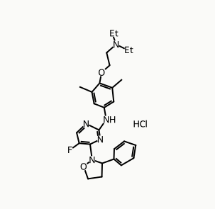 CCN(CC)CCOc1c(C)cc(Nc2ncc(F)c(N3OCCC3c3ccccc3)n2)cc1C.Cl